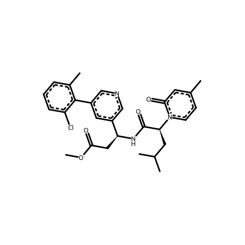 COC(=O)C[C@H](NC(=O)[C@H](CC(C)C)n1ccc(C)cc1=O)c1cncc(-c2c(C)cccc2Cl)c1